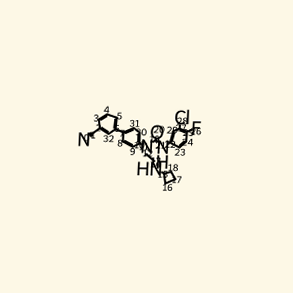 N#Cc1cccc(-c2ccc(N(CCNC3CCC3)C(=O)Nc3ccc(F)c(Cl)c3)cc2)c1